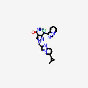 CC1CC1c1ccc2nc(Cn3cc(C(N)=O)c(C(Br)c4ncn5ccccc45)n3)cn2c1